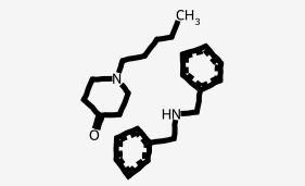 CCCCCN1CCC(=O)CC1.c1ccc(CNCc2ccccc2)cc1